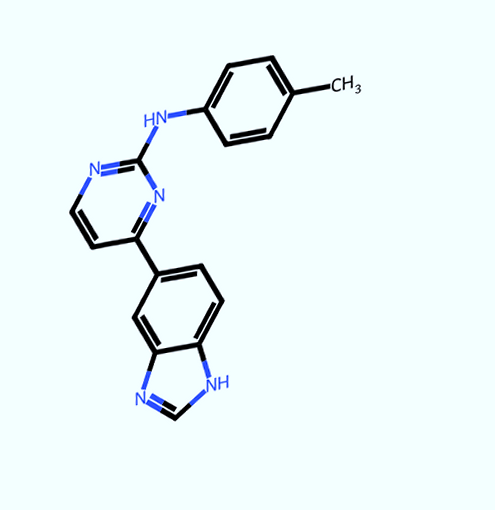 Cc1ccc(Nc2nccc(-c3ccc4[nH]cnc4c3)n2)cc1